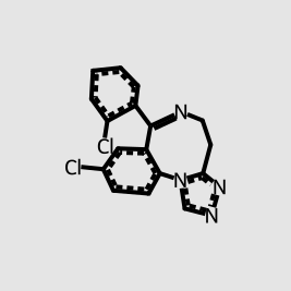 Clc1ccc2c(c1)C(c1ccccc1Cl)=NCCc1nncn1-2